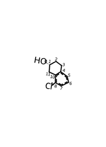 O[C@@H]1CCc2cccc(Cl)c2C1